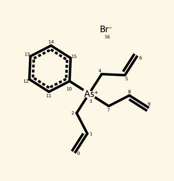 C=CC[As+](CC=C)(CC=C)c1ccccc1.[Br-]